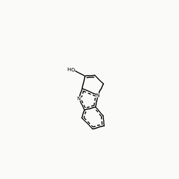 OC1=CCn2c1nc1ccccc12